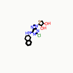 O[C@@H]1[C@H](O)CS[C@H]1n1cnc2c(N[C@H]3CCc4ccccc4C3)nc(Cl)nc21